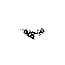 O=C(NCC#CCN1C(=O)C(c2ccc(C(F)(F)F)cc2C(F)(F)F)CCc2cc(F)ccc21)c1cccnc1